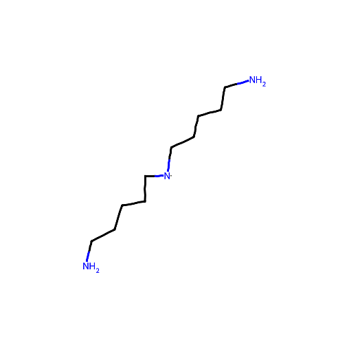 NCCCCC[N]CCCCCN